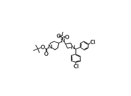 CC(C)(C)OC(=O)N1CCC(N(C2CN(C(c3ccc(Cl)cc3)c3ccc(Cl)cc3)C2)S(C)(=O)=O)CC1